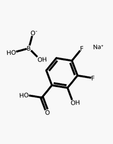 O=C(O)c1ccc(F)c(F)c1O.[Na+].[O-]B(O)O